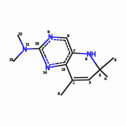 CC1=CC(C)(C)Nc2cnc(N(C)C)nc21